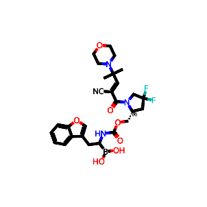 CC(C)(C=C(C#N)C(=O)N1CC(F)(F)C[C@@H]1COC(=O)NC(Cc1coc2ccccc12)B(O)O)N1CCOCC1